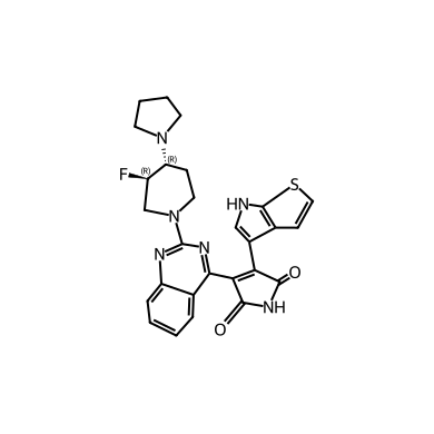 O=C1NC(=O)C(c2c[nH]c3sccc23)=C1c1nc(N2CC[C@@H](N3CCCC3)[C@H](F)C2)nc2ccccc12